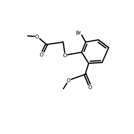 COC(=O)COc1c(Br)cccc1C(=O)OC